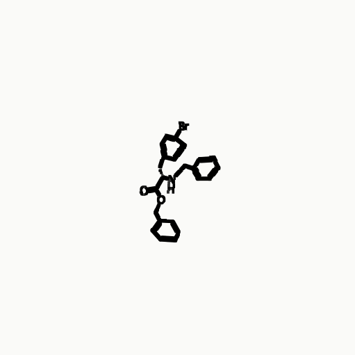 O=C(OCc1ccccc1)[C@H](Cc1ccc(Br)cc1)NCc1ccccc1